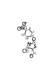 O=Cc1sc(Oc2ccc([N+](=O)[O-])cc2)nc1Cl